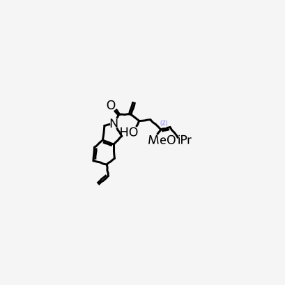 C=CC1C=CC2=C(C1)CN(C(=O)C(=C)C(O)C/C(=C/C(C)C)OC)C2